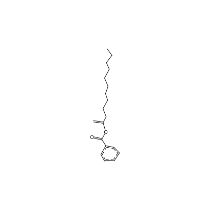 C=C(CCCCCCCCCC)OC(=O)c1ccccc1